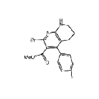 COC(=O)c1c(C(C)C)nc2c(c1-c1ccc(F)cc1)CCCN2